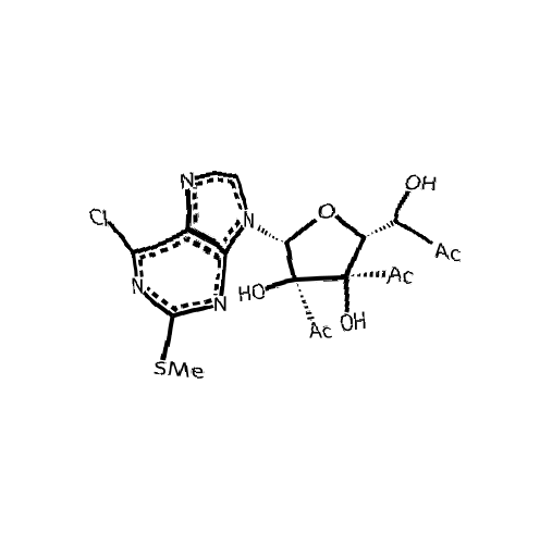 CSc1nc(Cl)c2ncn([C@@H]3O[C@H](C(O)C(C)=O)[C@](O)(C(C)=O)[C@]3(O)C(C)=O)c2n1